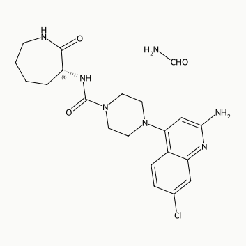 NC=O.Nc1cc(N2CCN(C(=O)N[C@@H]3CCCCNC3=O)CC2)c2ccc(Cl)cc2n1